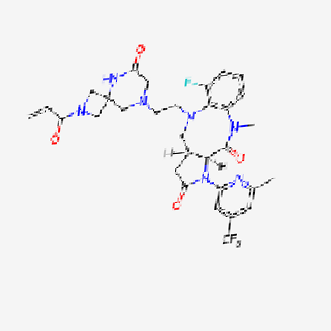 C=CC(=O)N1CC2(CN(CCN3C[C@H]4CC(=O)N(c5cc(C(F)(F)F)cc(C)n5)[C@@H]4C(=O)N(C)c4cccc(F)c43)CC(=O)N2)C1